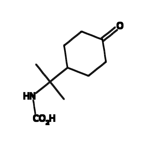 CC(C)(NC(=O)O)C1CCC(=O)CC1